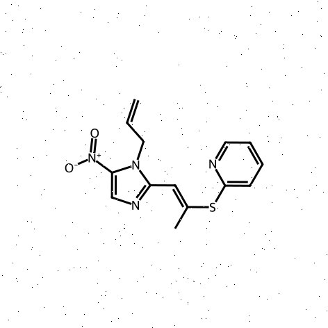 C=CCn1c([N+](=O)[O-])cnc1C=C(C)Sc1ccccn1